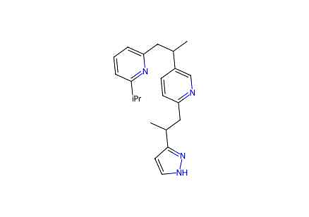 CC(C)c1cccc(CC(C)c2ccc(CC(C)c3cc[nH]n3)nc2)n1